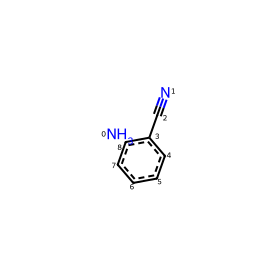 N.N#Cc1ccccc1